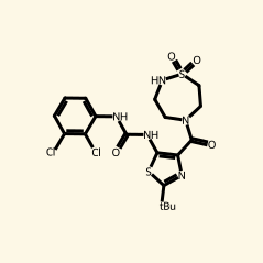 CC(C)(C)c1nc(C(=O)N2CCNS(=O)(=O)CC2)c(NC(=O)Nc2cccc(Cl)c2Cl)s1